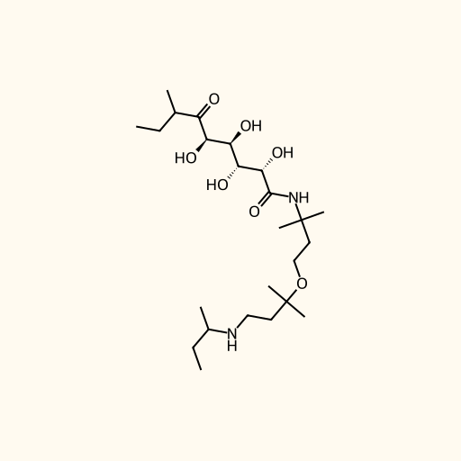 CCC(C)NCCC(C)(C)OCCC(C)(C)NC(=O)[C@@H](O)[C@H](O)[C@H](O)[C@@H](O)C(=O)C(C)CC